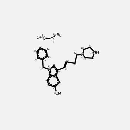 CC(C)(C)OC=O.N#Cc1ccc2c(c1)c(C=CCCN1CCNCC1)cn2Cc1ccccc1